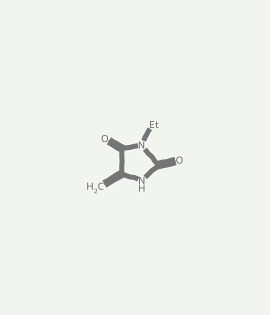 C=C1NC(=O)N(CC)C1=O